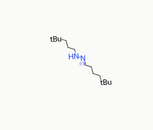 CC(C)(C)CCC/C=N/NCCCC(C)(C)C